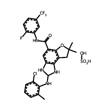 Cc1cccc(Cl)c1NC1Nc2cc(C(=O)Nc3cc(C(F)(F)F)ccc3F)c3c(c2N1)CC(C)(C)O3.O=S(=O)(O)O